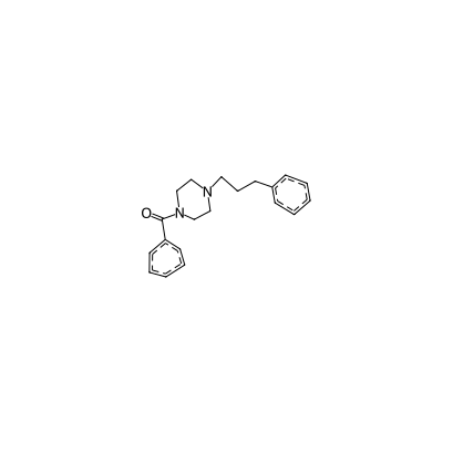 O=C(c1ccccc1)N1CCN(CCCc2ccccc2)CC1